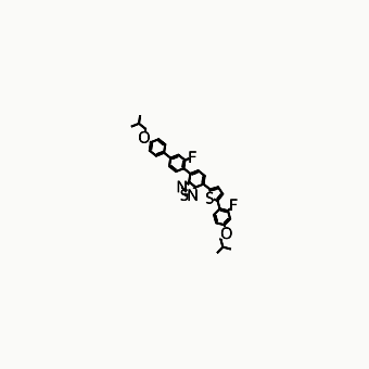 CC(C)COc1ccc(-c2ccc(-c3ccc(-c4ccc(-c5ccc(OCC(C)C)cc5F)s4)c4nsnc34)c(F)c2)cc1